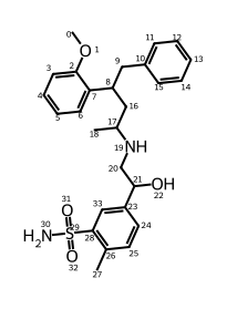 COc1ccccc1C(Cc1ccccc1)CC(C)NCC(O)c1ccc(C)c(S(N)(=O)=O)c1